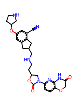 N#Cc1cc(OC2CCNC2)cc2c1CC(CNCCC1CN(c3ccc4c(n3)NC(=O)CO4)C(=O)O1)C2